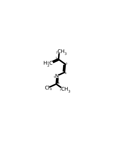 C=C(C)/C=C\N=C(/C)Cl